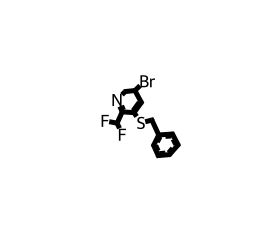 FC(F)C1=NCC(Br)C=C1SCc1ccccc1